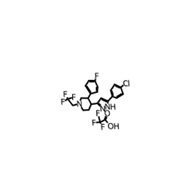 Fc1ccc(C2CN(CC(F)(F)F)CCC2c2cc(-c3ccc(Cl)cc3)[nH]n2)cc1.O=C(O)C(F)(F)F